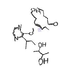 CC(O)C(C)O.CC/C=C\CCO.CCC(C)c1nccnc1OC.CCCCC=O